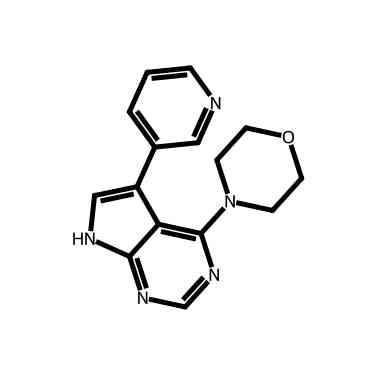 c1cncc(-c2c[nH]c3ncnc(N4CCOCC4)c23)c1